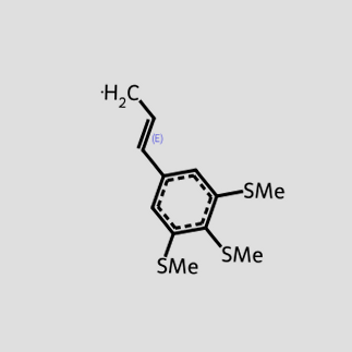 [CH2]/C=C/c1cc(SC)c(SC)c(SC)c1